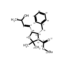 CC(O)C=C[C@H]1OC(C)(C)N(C(=O)OC(C)(C)C)[C@H]1Cc1ccccc1